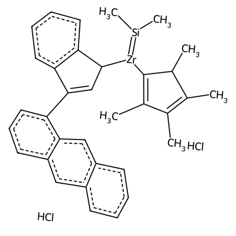 CC1=C(C)C(C)[C]([Zr]([CH]2C=C(c3cccc4cc5ccccc5cc34)c3ccccc32)=[Si](C)C)=C1C.Cl.Cl